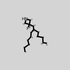 CCCCCCC(CCCCC)CC1(F)CNC1